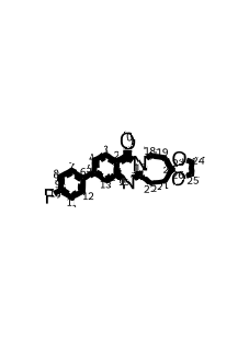 O=c1c2ccc(-c3ccc(F)cc3)cc2nc2n1CCC1(CC2)OCCO1